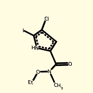 CCON(C)C(=O)c1cc(Cl)c(I)[nH]1